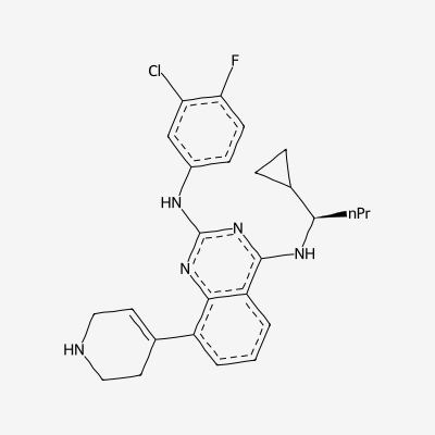 CCC[C@@H](Nc1nc(Nc2ccc(F)c(Cl)c2)nc2c(C3=CCNCC3)cccc12)C1CC1